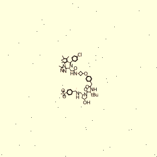 Cc1sc2c(c1C)C(c1ccc(Cl)cc1)=N[C@@H](CC(=O)N[C@H]1C[C@H](Oc3ccc(CC(=O)N[C@H](C(=O)N4C[C@H](O)C[C@H]4CN[C@@H](C)c4ccc(S(C)(=O)=O)cc4)C(C)(C)C)cc3)C1)c1nnc(C)n1-2